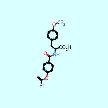 C=C(CC)Oc1ccc(C(=O)NC(Cc2ccc(OC(F)(F)F)cc2)C(=O)O)cc1